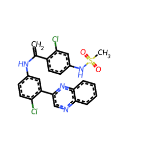 C=C(Nc1ccc(Cl)c(-c2cnc3ccccc3n2)c1)c1ccc(NS(C)(=O)=O)cc1Cl